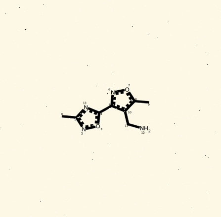 Cc1noc(-c2noc(C)c2CN)n1